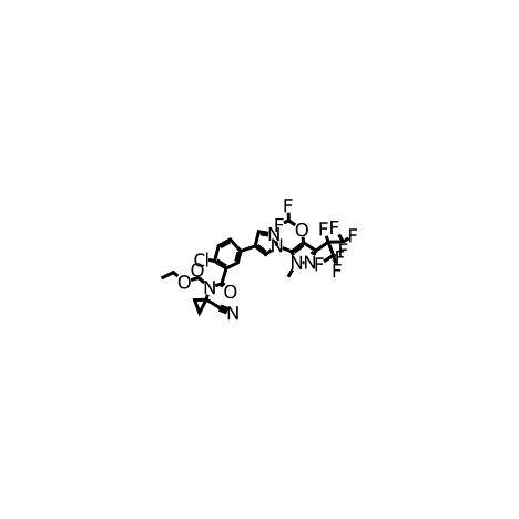 CCOC(=O)N(C(=O)c1cc(-c2cnn(-c3c(OC(F)F)c(C(F)(C(F)(F)F)C(F)(F)F)nn3C)c2)ccc1Cl)C1(C#N)CC1